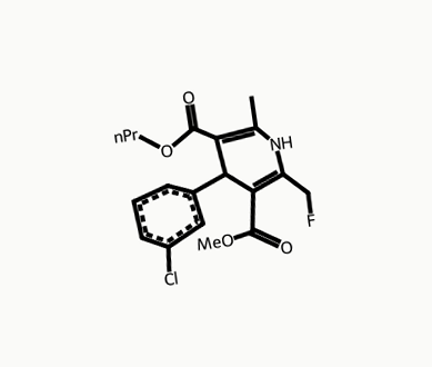 CCCOC(=O)C1=C(C)NC(CF)=C(C(=O)OC)C1c1cccc(Cl)c1